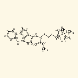 COC(=O)C(CCCO[Si](C)(C)C(C)(C)C)Oc1ncnc2c1cnn2-c1ncccc1Cl